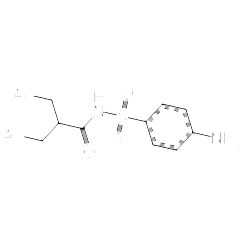 CC(=O)CC(CC(C)=O)C(=O)NS(=O)(=O)c1ccc(N)cc1